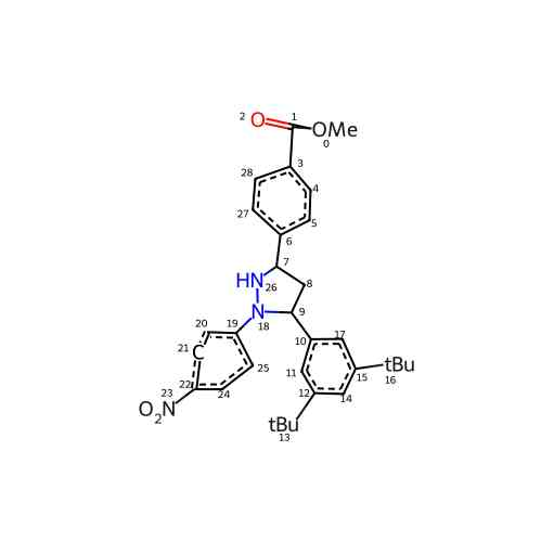 COC(=O)c1ccc(C2CC(c3cc(C(C)(C)C)cc(C(C)(C)C)c3)N(c3ccc([N+](=O)[O-])cc3)N2)cc1